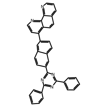 c1ccc(-c2nc(-c3ccccc3)nc(-c3ccc4cc(-c5ccnc6c5ccc5cccnc56)ccc4c3)n2)cc1